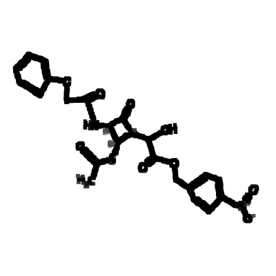 CC(=O)S[C@H]1[C@@H](NC(=O)COc2ccccc2)C(=O)N1C(O)C(=O)OCc1ccc([N+](=O)[O-])cc1